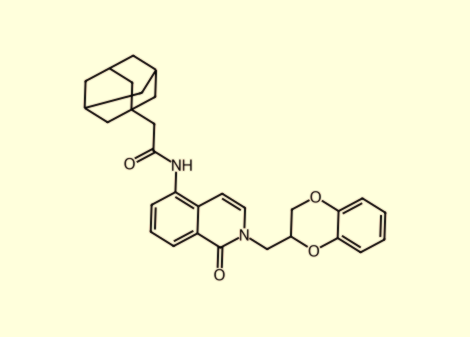 O=C(CC12CC3CC(CC(C3)C1)C2)Nc1cccc2c(=O)n(CC3COc4ccccc4O3)ccc12